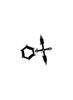 N#[C][Pt]([Cl])([Cl])[C]#N.c1ccccc1